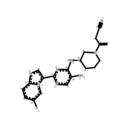 C=C(CC#N)N1CCC[C@@H](Nc2nc(-c3cnc4ccc(F)cn34)ncc2N)C1